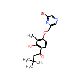 Cc1c(OCc2cncc(Br)n2)ccc(C(=O)CC(C)(C)C)c1O